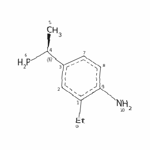 CCc1cc([C@H](C)P)ccc1N